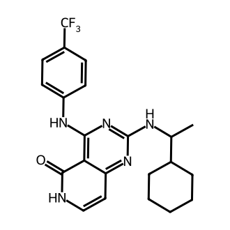 CC(Nc1nc(Nc2ccc(C(F)(F)F)cc2)c2c(=O)[nH]ccc2n1)C1CCCCC1